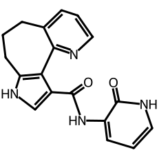 O=C(Nc1ccc[nH]c1=O)c1c[nH]c2c1-c1ncccc1CCC2